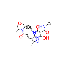 Cc1nn2c(O)c(C(=O)NC3CC3)c(=O)n(CC(C)(C)C)c2c1C=CC(=O)N1CCOCC1C